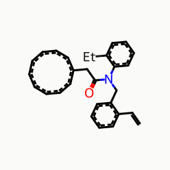 C=Cc1ccccc1CN(C(=O)Cc1ccccccccc1)c1ccccc1CC